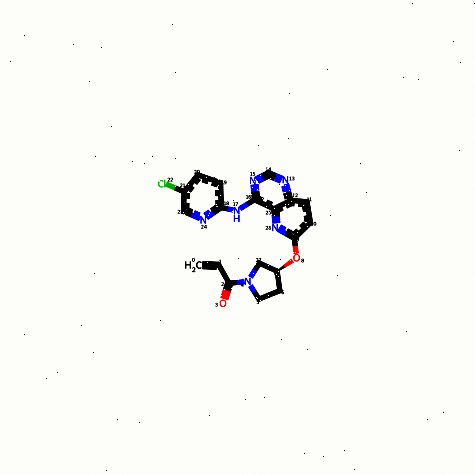 C=CC(=O)N1CC[C@H](Oc2ccc3ncnc(Nc4ccc(Cl)cn4)c3n2)C1